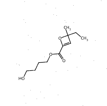 CCC1(C)C=C(C(=O)OCCCCO)O1